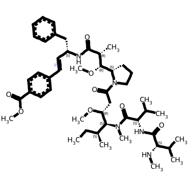 CC[C@H](C)[C@@H]([C@@H](CC(=O)N1CCC[C@H]1[C@H](OC)[C@@H](C)C(=O)N[C@H](/C=C/c1ccc(C(=O)OC)cc1)Cc1ccccc1)OC)N(C)C(=O)[C@@H](NC(=O)[C@@H](NC)C(C)C)C(C)C